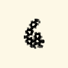 Cc1cnc(Nc2ccc(N3CCN(C)CC3)cn2)nc1Nc1ccccc1C(=O)NC(C)C